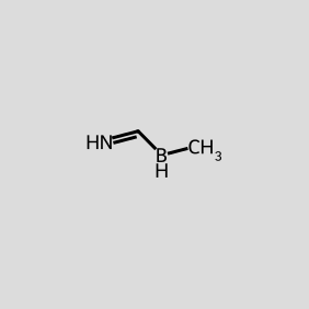 CBC=N